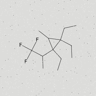 CCC1(CC)C(C)C1(CC)C(C)C(F)(F)F